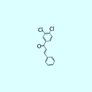 O=C(C=Cc1ccccc1)c1ccc(Cl)c(Cl)c1